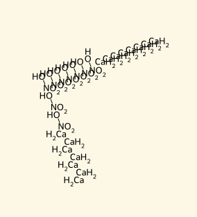 O=[N+]([O-])O.O=[N+]([O-])O.O=[N+]([O-])O.O=[N+]([O-])O.O=[N+]([O-])O.O=[N+]([O-])O.O=[N+]([O-])O.O=[N+]([O-])O.O=[N+]([O-])O.[CaH2].[CaH2].[CaH2].[CaH2].[CaH2].[CaH2].[CaH2].[CaH2].[CaH2].[CaH2].[CaH2].[CaH2].[CaH2].[CaH2].[CaH2]